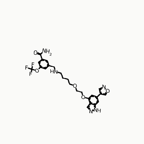 NC(=O)c1cc(CNCCCCOCCOc2cc(-c3cnoc3)cc3[nH]ncc23)cc(OC(F)(F)F)c1